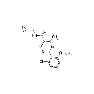 COc1cccc(Cl)c1C(=O)NC(C)C(=O)C(=O)NCC1CC1